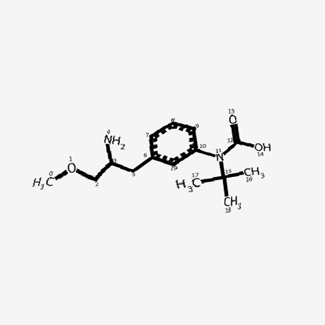 COCC(N)Cc1cccc(N(C(=O)O)C(C)(C)C)c1